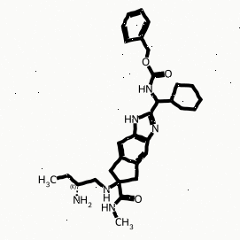 CC[C@@H](N)CNC1(C(=O)NC)Cc2cc3nc(C(NC(=O)OCc4ccccc4)C4CCCCC4)[nH]c3cc2C1